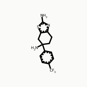 Nc1nc2c(s1)CC(N)(c1ccc(C(F)(F)F)cc1)CC2